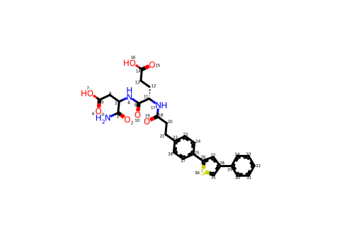 NC(=O)C(CC(=O)O)NC(=O)[C@H](CCC(=O)O)NC(=O)CCc1ccc(-c2cc(-c3ccccc3)cs2)cc1